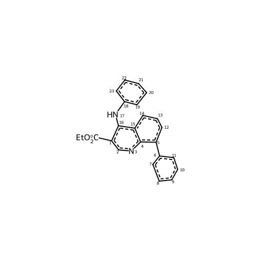 CCOC(=O)c1cnc2c(-c3ccccc3)cccc2c1Nc1ccccc1